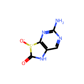 Nc1ncc2[nH]c(=O)[s+]([O-])c2n1